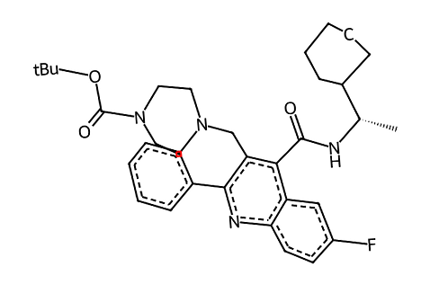 C[C@H](NC(=O)c1c(CN2CCN(C(=O)OC(C)(C)C)CC2)c(-c2ccccc2)nc2ccc(F)cc12)C1CCCCC1